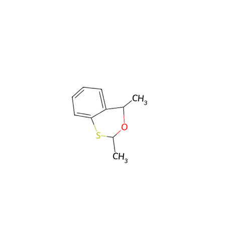 CC1OC(C)c2ccccc2S1